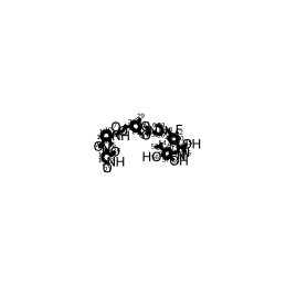 Cc1cc(COC(=O)Nc2cccc3c2CN(C2CCC(=O)NC2=O)C3=O)cc(C)c1OC(=O)N1CCN(Cc2ccc(C3C(O)=NN=C3c3cc(C(C)C)c(O)cc3O)cc2F)CC1